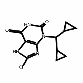 O=c1[nH]c(=O)n(C(C2CC2)C2CC2)c2nc(Cl)[nH]c12